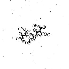 CC(C)[O][Ti+2][O]C(C)C.CCCC(=O)C(C(=O)[O-])C(=O)CCC.CCCC(=O)C(C(=O)[O-])C(=O)CCC